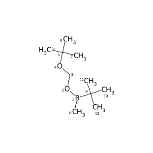 CB(OCOC(C)(C)C)C(C)(C)C